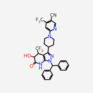 N#Cc1cnc(N2CCC(c3nn(C(c4ccccc4)c4ccccc4)c4c3C(C(F)(F)F)C(O)C(=O)N4)CC2)cc1C(F)(F)F